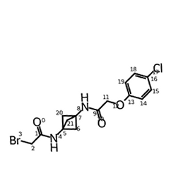 O=C(CBr)NC12CC(NC(=O)COc3ccc(Cl)cc3)(C1)C2